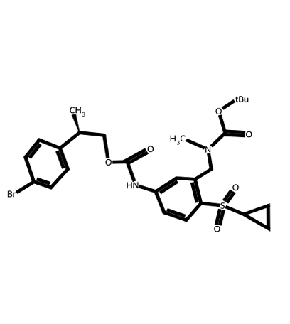 C[C@@H](COC(=O)Nc1ccc(S(=O)(=O)C2CC2)c(CN(C)C(=O)OC(C)(C)C)c1)c1ccc(Br)cc1